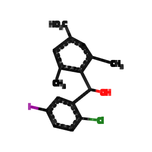 Cc1cc(C(=O)O)cc(C)c1C(O)c1cc(I)ccc1Cl